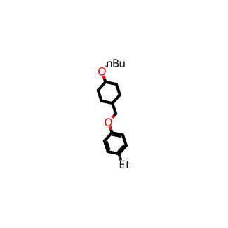 [CH2+][CH-]CCOC1CCC(COc2ccc(CC)cc2)CC1